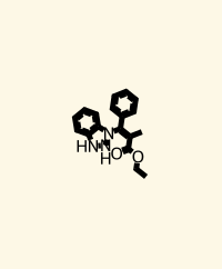 CCOC(=O)C(C)=C(c1ccccc1)N1NNc2ccccc21